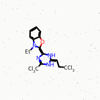 CCN1C(=C2N=C(C(Cl)(Cl)Cl)NC(=CCC(Cl)(Cl)Cl)N2)Oc2ccccc21